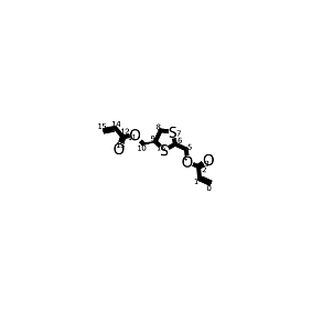 C=CC(=O)OCC1SC[C@H](COC(=O)C=C)S1